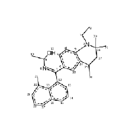 CCN1c2ccc(/C(=N\C(C)O)c3cccc4cccc(C)c34)cc2C(C)CC1(C)C